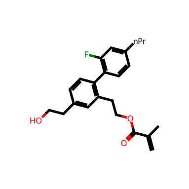 C=C(C)C(=O)OCCc1cc(CCO)ccc1-c1ccc(CCC)cc1F